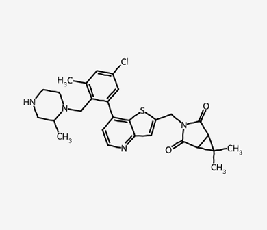 Cc1cc(Cl)cc(-c2ccnc3cc(CN4C(=O)C5C(C4=O)C5(C)C)sc23)c1CN1CCNCC1C